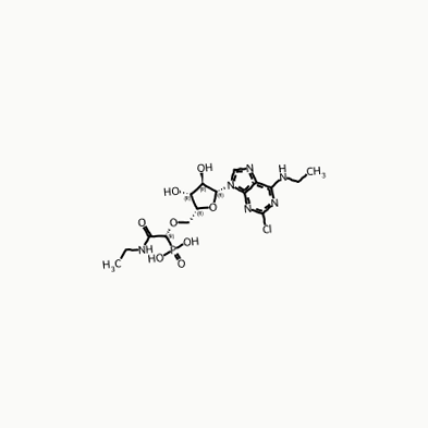 CCNC(=O)[C@H](OC[C@H]1O[C@@H](n2cnc3c(NCC)nc(Cl)nc32)[C@H](O)[C@H]1O)P(=O)(O)O